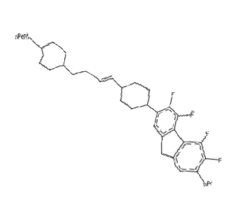 CCCCCC1CCC(CC/C=C/C2CCC(c3cc4c(c(F)c3F)-c3c(cc(CCC)c(F)c3F)C4)CC2)CC1